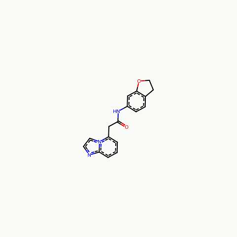 O=C(Cc1cccc2nccn12)Nc1ccc2c(c1)OCC2